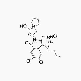 CCCCOc1c(CN)n(CC[N+]2(C(=O)O)CCCC2)c(=O)c2cc(Cl)c(Cl)cc12.Cl